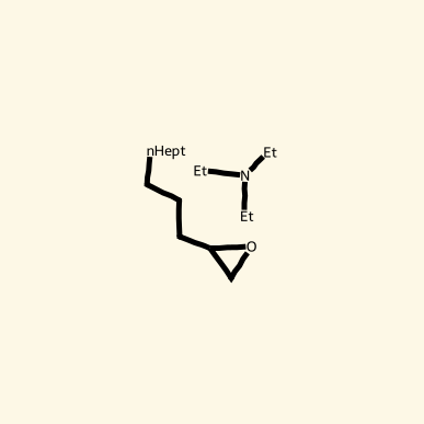 CCCCCCCCCCC1CO1.CCN(CC)CC